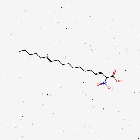 CCCCC/C=C/CCCCCCC/C=C/C(C(=O)O)[N+](=O)[O-]